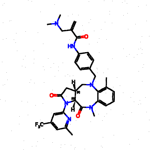 C=C(CN(C)C)C(=O)Nc1ccc(CN2C[C@H]3CC(=O)N(c4cc(C(F)(F)F)cc(C)n4)[C@@H]3C(=O)N(C)c3cccc(C)c32)cc1